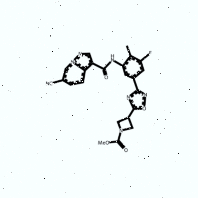 COC(=O)N1CC(c2nc(-c3cc(F)c(C)c(NC(=O)c4cnn5cc(C#N)ccc45)c3)no2)C1